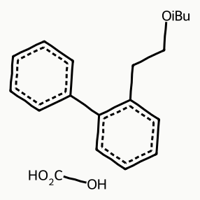 CC(C)COCCc1ccccc1-c1ccccc1.O=C(O)O